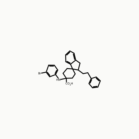 O=C(O)C1(Nc2cccc(Br)c2)CCC2(CC1)c1ccccc1CC2CCc1ccccc1